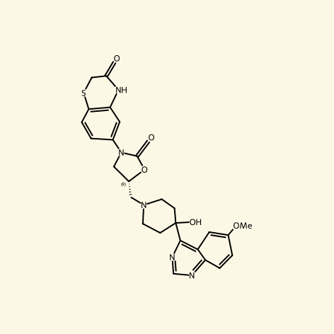 COc1ccc2ncnc(C3(O)CCN(C[C@@H]4CN(c5ccc6c(c5)NC(=O)CS6)C(=O)O4)CC3)c2c1